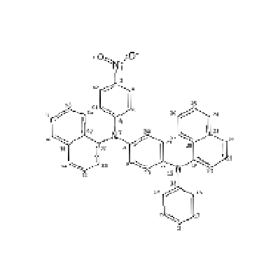 O=[N+]([O-])c1ccc(N(c2ccc(N(c3ccccc3)c3cccc4ccccc34)cc2)c2cccc3ccccc23)cc1